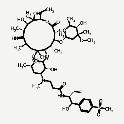 CC[C@H]1OC(=O)[C@H](C)[C@@H](O[C@H]2C[C@@](C)(OC)[C@@H](O)[C@H](C)O2)[C@H](C)[C@@H](O[C@@H]2O[C@H](C)C[C@H](N(C)CCC(=O)N[C@H](CF)[C@H](O)c3ccc(S(C)(=O)=O)cc3)[C@H]2O)[C@](C)(OC)C[C@@H](C)C(=N)[C@H](C)[C@@H](O)[C@]1(C)O